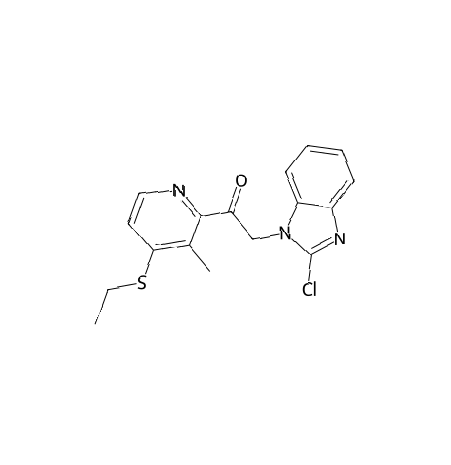 CCSc1ccnc(C(=O)Cn2c(Cl)nc3ccccc32)c1C